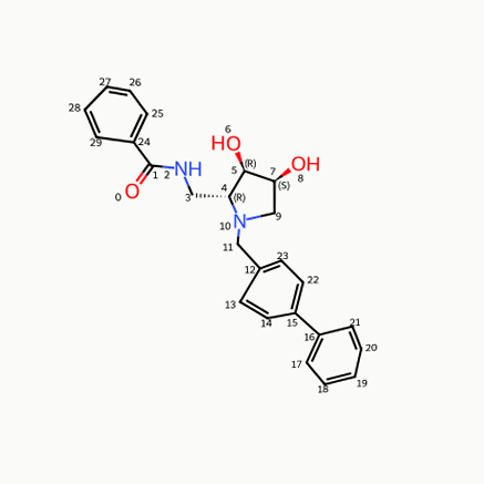 O=C(NC[C@@H]1[C@@H](O)[C@@H](O)CN1Cc1ccc(-c2ccccc2)cc1)c1ccccc1